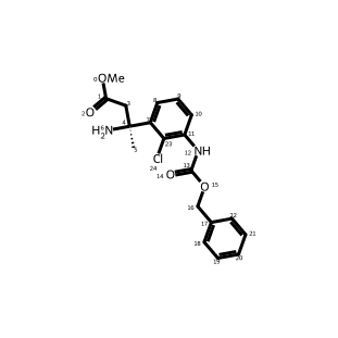 COC(=O)C[C@](C)(N)c1cccc(NC(=O)OCc2ccccc2)c1Cl